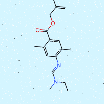 C=C(C)COC(=O)c1cc(C)c(/N=C/N(C)CC)cc1C